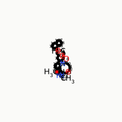 CCOC(=O)c1c(CCCOc2cccc3ccccc23)c2ccc(C)c3c2n1CCCCOCc1c-3c(C)nn1C